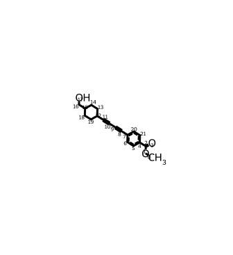 COC(=O)c1ccc(C#CC#CC2CCC(CO)CC2)cc1